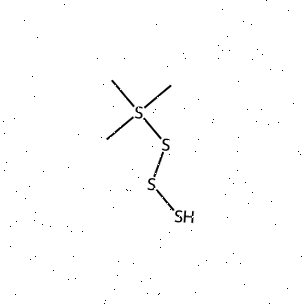 CS(C)(C)SSS